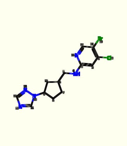 Clc1cc(NCC2CCC(n3cncn3)C2)ncc1Br